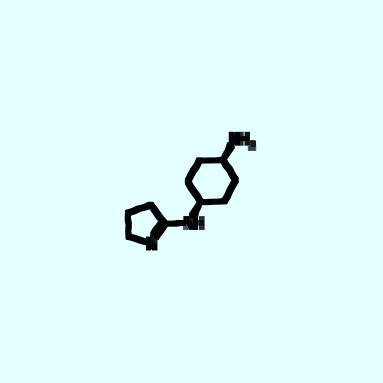 N[C@H]1CC[C@@H](NC2=NCCC2)CC1